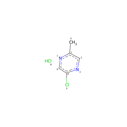 Cc1cnc(Cl)cn1.Cl